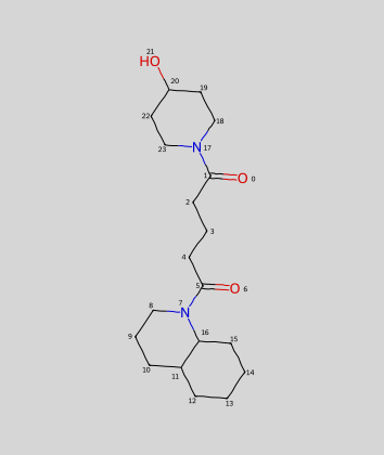 O=C(CCCC(=O)N1CCCC2CCCCC21)N1CCC(O)CC1